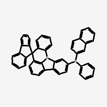 c1ccc(N(c2ccc3ccccc3c2)c2ccc3c4cccc5c4n(c3c2)-c2ccccc2C52c3ccccc3-c3ccccc32)cc1